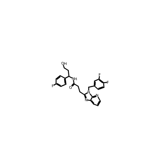 O=C(CCc1nc2cccnc2n1Cc1ccc(F)c(F)c1)NC(CCO)c1ccc(F)cc1